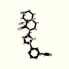 N#Cc1cccc(-n2cnc(N3CCN4CCNC[C@@H]4C3=O)n2)c1